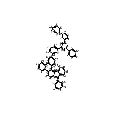 c1ccc(-c2nc(-c3cccc(-c4cccnc4)c3)nc(-c3cccc(-c4ccc5c(c4)c4ccccc4c4ccc6c(c7ccccc7n6-c6ccccc6)c45)c3)n2)cc1